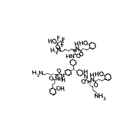 NCCCC[C@@H](NC(=O)CCc1ccccc1O)C(=O)Nc1ccc(C(c2ccc(NC(=O)[C@@H](CCCCN)NC(=O)CCc3ccccc3O)cc2)c2ccc(NC(=O)[C@@H](CCCCN)NC(=O)CCc3ccccc3O)cc2)cc1.O=C(O)C(F)(F)F